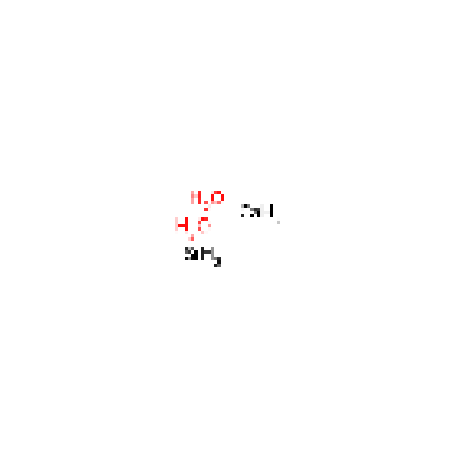 O.O.[CaH2].[SrH2]